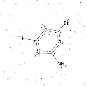 CCc1cc(N)nc(F)c1